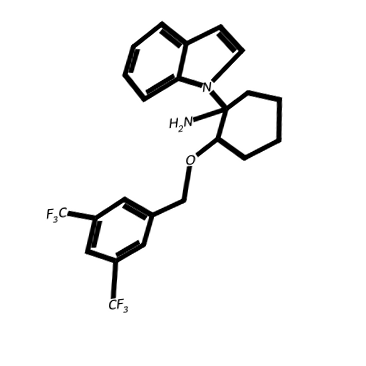 NC1(n2ccc3ccccc32)CCCCC1OCc1cc(C(F)(F)F)cc(C(F)(F)F)c1